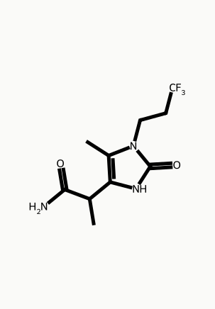 Cc1c(C(C)C(N)=O)[nH]c(=O)n1CCC(F)(F)F